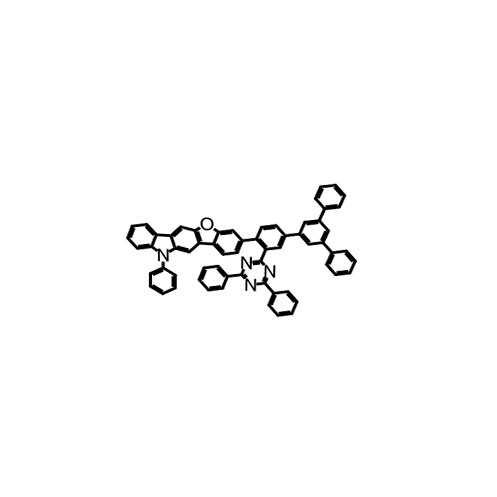 c1ccc(-c2cc(-c3ccccc3)cc(-c3ccc(-c4ccc5c(c4)oc4cc6c7ccccc7n(-c7ccccc7)c6cc45)c(-c4nc(-c5ccccc5)nc(-c5ccccc5)n4)c3)c2)cc1